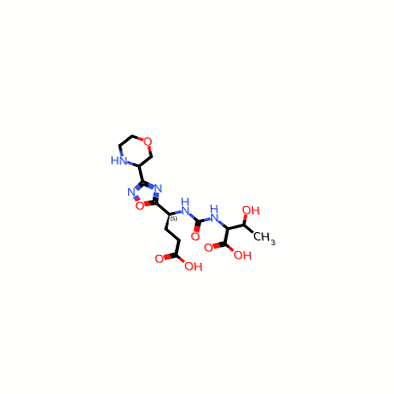 CC(O)C(NC(=O)N[C@@H](CCC(=O)O)c1nc(C2COCCN2)no1)C(=O)O